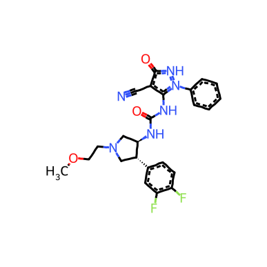 COCCN1C[C@@H](NC(=O)Nc2c(C#N)c(=O)[nH]n2-c2ccccc2)[C@H](c2ccc(F)c(F)c2)C1